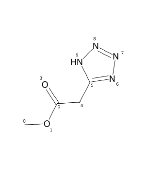 COC(=O)Cc1nnn[nH]1